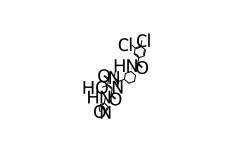 Cn1c(C2CCC[C@@H](NC(=O)c3ccc(Cl)c(Cl)c3)C2)nc(C(=O)Nc2cnoc2)c(O)c1=O